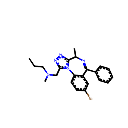 CCCN(C)Cc1nnc2n1-c1ccc(Br)cc1C(c1ccccc1)=NC2C